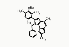 CCCCc1c(C)cc(C)c(-c2cc3c(C)nc4cc(C)nn4c3n2Cc2ccccc2)c1C